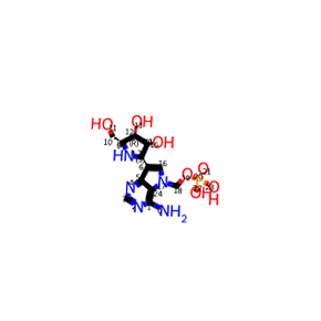 Nc1ncnc2c([C@@H]3N[C@H](CO)[C@@H](O)[C@H]3O)cn(COP(=O)(O)O)c12